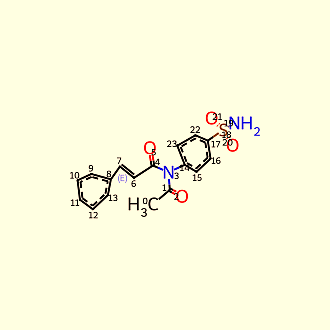 CC(=O)N(C(=O)/C=C/c1ccccc1)c1ccc(S(N)(=O)=O)cc1